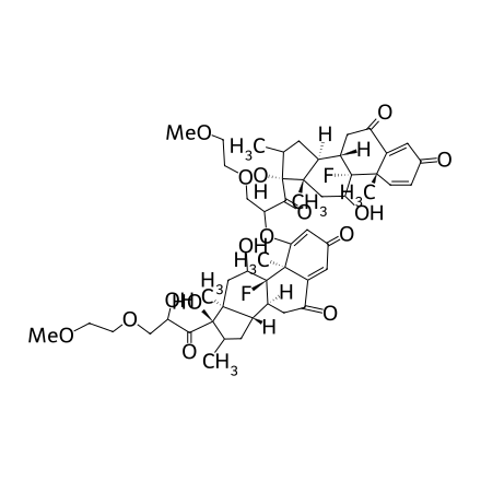 COCCOCC(O)C(=O)[C@@]1(O)C(C)C[C@H]2[C@@H]3CC(=O)C4=CC(=O)C=C(OC(COCCOC)C(=O)[C@@]5(O)C(C)C[C@H]6[C@@H]7CC(=O)C8=CC(=O)C=C[C@]8(C)[C@@]7(F)C(O)C[C@@]65C)[C@]4(C)[C@@]3(F)C(O)C[C@@]21C